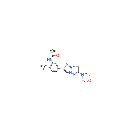 CC(C)(C)C(=O)Nc1cc(-c2cn3nc(N4CCOCC4)ccc3n2)ccc1C(F)(F)F